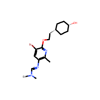 CCN(C)/C=N/c1cc(Br)c(OCC[C@H]2CC[C@@H](O)CC2)nc1C